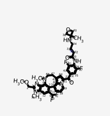 COCc1nc2c3c(c(C(F)F)cc2n1C)-c1cccn2c(C(=O)c4cc(F)c(NC(=O)/C=C/CNC5(C)COC5)c(F)c4)cc(c12)CCN3C